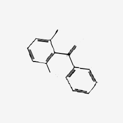 COc1cccc(C)c1C(=O)c1ccccc1